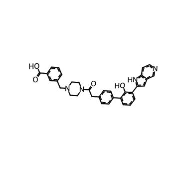 O=C(O)c1cccc(CN2CCN(C(=O)Cc3ccc(-c4cccc(-c5cc6cnccc6[nH]5)c4O)cc3)CC2)c1